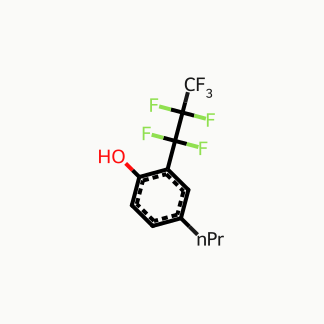 CCCc1ccc(O)c(C(F)(F)C(F)(F)C(F)(F)F)c1